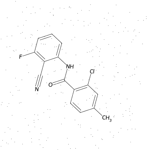 Cc1ccc(C(=O)Nc2cccc(F)c2C#N)c(Cl)c1